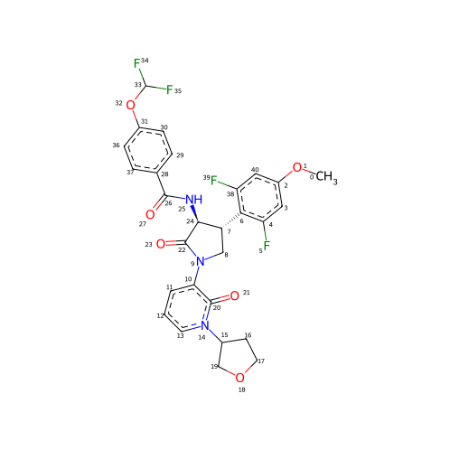 COc1cc(F)c([C@@H]2CN(c3cccn(C4CCOC4)c3=O)C(=O)[C@H]2NC(=O)c2ccc(OC(F)F)cc2)c(F)c1